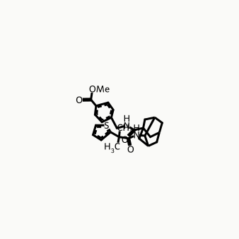 COC(=O)c1ccc(CNC(=O)C23CC4CC(C2)C(NC(=O)C(C)(C)c2cccs2)C(C4)C3)cc1